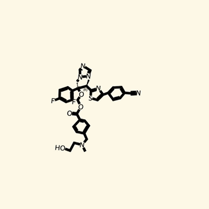 C[C@@H](c1nc(-c2ccc(C#N)cc2)cs1)[C@@](Cn1cncn1)(OCOC(=O)c1ccc(CN(C)CCO)cc1)c1ccc(F)cc1F